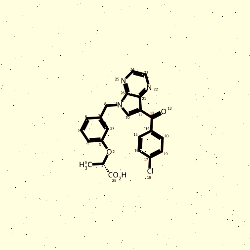 C[C@H](Oc1cccc(Cn2cc(C(=O)c3ccc(Cl)cc3)c3nccnc32)c1)C(=O)O